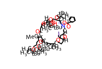 C=C1C(C)CC2CC[C@@H]3O[C@@H](CCN(OC(=O)c4ccccc4)/C=C/C(O[Si](C)(C)C(C)(C)C)C4O[C@H]5CCC(CC(=O)CC6[C@@H](OC)C(CC(CO[Si](C)(C)C(C)(C)C)O[Si](C)(C)C(C)(C)C)O[C@H]6CC1OC(C)=O)OC5[C@H](O)C4O[Si](C)(C)C(C)(C)C)CC3(CI)O2